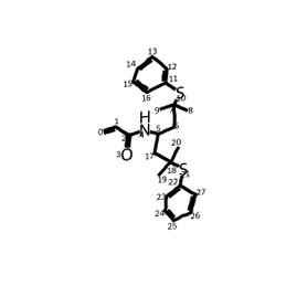 C=CC(=O)NC(CC(C)(C)Sc1ccccc1)CC(C)(C)Sc1ccccc1